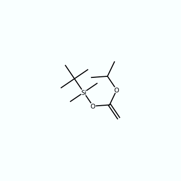 C=C(OC(C)C)O[Si](C)(C)C(C)(C)C